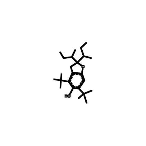 CCC(C)C1(C(C)CC)Cc2c(cc(C(C)(C)C)c(O)c2C(C)(C)C)O1